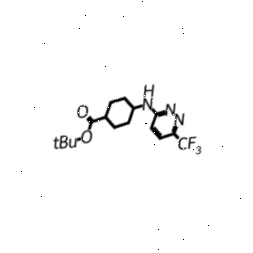 CC(C)(C)OC(=O)C1CCC(Nc2ccc(C(F)(F)F)nn2)CC1